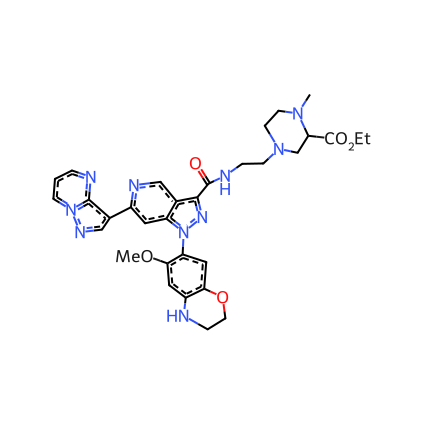 CCOC(=O)C1CN(CCNC(=O)c2nn(-c3cc4c(cc3OC)NCCO4)c3cc(-c4cnn5cccnc45)ncc23)CCN1C